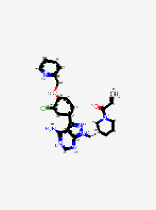 C=CC(=O)N1CCC[C@H](Cn2nc(-c3ccc(OCc4ccccn4)c(Cl)c3)c3c(N)ncnc32)C1